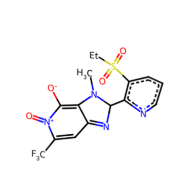 CCS(=O)(=O)c1cccnc1C1N=C2C=C(C(F)(F)F)[N+](=O)C([O-])=C2N1C